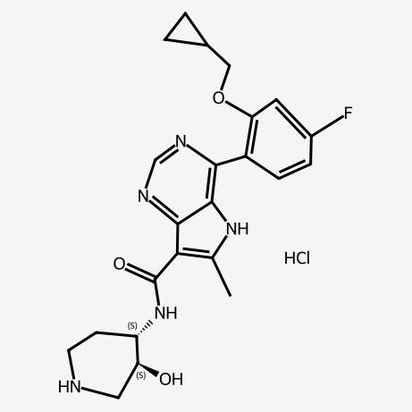 Cc1[nH]c2c(-c3ccc(F)cc3OCC3CC3)ncnc2c1C(=O)N[C@H]1CCNC[C@@H]1O.Cl